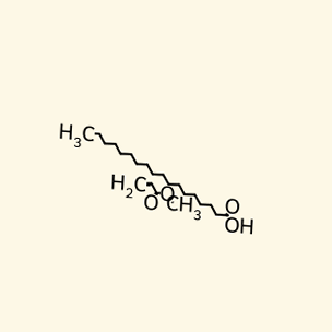 C=CC(=O)OC.CCCCCCCCCCCCCCCCCC(=O)O